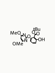 COc1cc(OC)nc(Oc2cccc(O)c2C(=O)OC(C)(C)C)n1